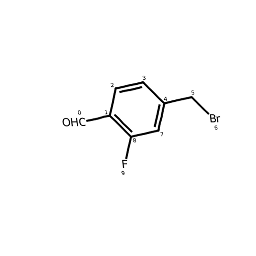 O=Cc1ccc(CBr)cc1F